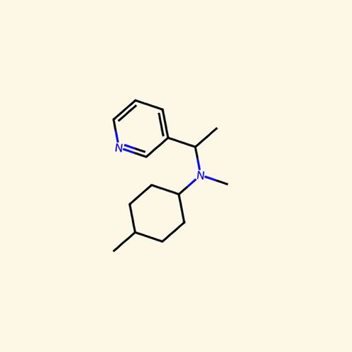 CC1CCC(N(C)C(C)c2cccnc2)CC1